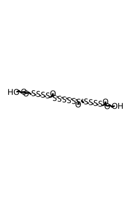 O=C(CSCSCSCSCC[S+]([O-])CSCSCSCSCSC(=O)CSCSCSCSCCOOCCO)OCCO